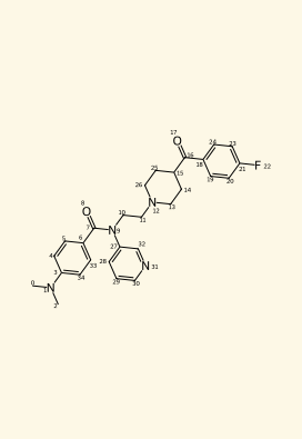 CN(C)c1ccc(C(=O)N(CCN2CCC(C(=O)c3ccc(F)cc3)CC2)c2cccnc2)cc1